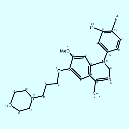 COc1cc2c(cc1OCCCN1CCOCC1)C(N)=NCN2c1ccc(F)c(Cl)c1